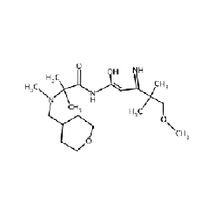 COCC(C)(C)C(=N)/C=C(\O)NC(=O)C(C)(C)N(C)CC1CCOCC1